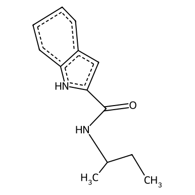 CCC(C)NC(=O)c1cc2ccccc2[nH]1